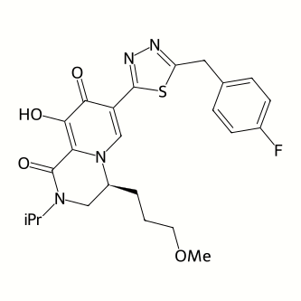 COCCC[C@H]1CN(C(C)C)C(=O)c2c(O)c(=O)c(-c3nnc(Cc4ccc(F)cc4)s3)cn21